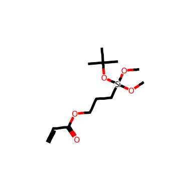 C=CC(=O)OCCC[Si](OC)(OC)OC(C)(C)C